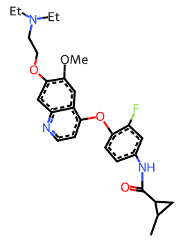 CCN(CC)CCOc1cc2nccc(Oc3ccc(NC(=O)C4CC4C)cc3F)c2cc1OC